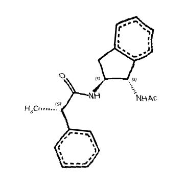 CC(=O)N[C@H]1c2ccccc2C[C@@H]1NC(=O)[C@@H](C)c1ccccc1